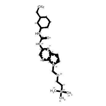 CC(=O)OCC1CCCC(NC(=O)Nc2cnc3c(ccn3COCC[Si](C)(C)C)n2)C1